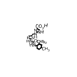 Cc1ccc(NC(=O)Nc2ncc(CNc3nc(C(=O)O)c[nH]3)s2)c(OCC(C)C)c1